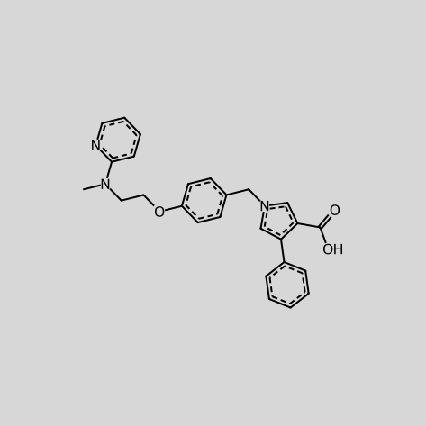 CN(CCOc1ccc(Cn2cc(C(=O)O)c(-c3ccccc3)c2)cc1)c1ccccn1